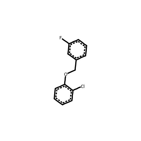 Fc1cccc(COc2ccccc2Cl)c1